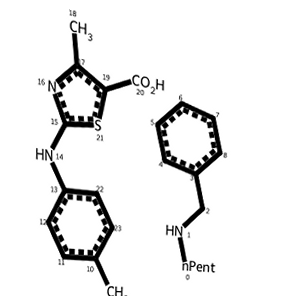 CCCCCNCc1ccccc1.Cc1ccc(Nc2nc(C)c(C(=O)O)s2)cc1